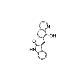 O=C1Nc2ccccc2C1=Cc1ccc2cccnc2c1O